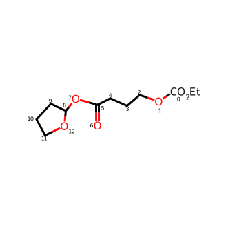 CCOC(=O)OCCCC(=O)OC1CCCO1